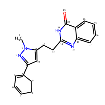 Cn1nc(C2=CC=CCC2)cc1CCc1nc2ccccc2c(=O)[nH]1